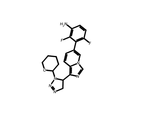 Nc1ccc(F)c(-c2ccc3c(C4CN=NN4C4CCCCO4)ncn3c2)c1F